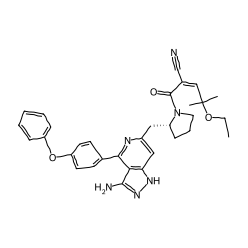 CCOC(C)(C)/C=C(/C#N)C(=O)N1CCC[C@@H]1Cc1cc2[nH]nc(N)c2c(-c2ccc(Oc3ccccc3)cc2)n1